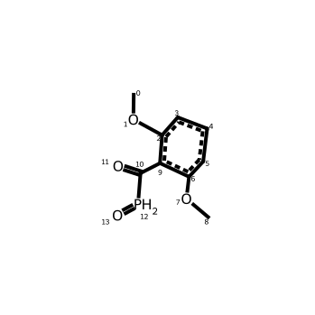 COc1cccc(OC)c1C(=O)[PH2]=O